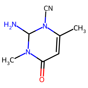 CC1=CC(=O)N(C)C(N)N1C#N